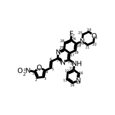 O=[N+]([O-])c1ccc(/C=C/c2nc(Nc3cccnc3)c3cc(N4CCOCC4)c(F)cc3n2)o1